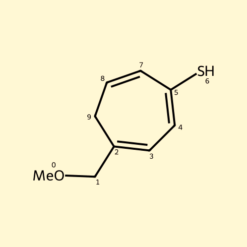 COCC1=CC=C(S)C=CC1